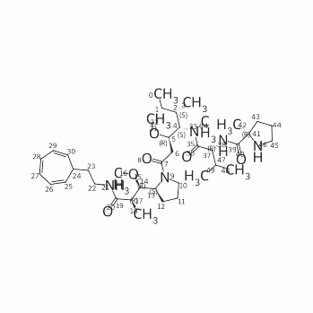 CC[C@H](C)[C@@H]([C@@H](CC(=O)N1CCC[C@H]1[C@H](OC)[C@@H](C)C(=O)NCCC1C=CC=CC=C1)OC)N(C)C(=O)[C@H](NC(=O)[C@@]1(C)CCCN1)C(C)C